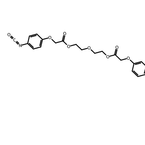 O=C=Nc1ccc(OCC(=O)OCCOCCOC(=O)COc2ccc(N=C=O)cc2)cc1